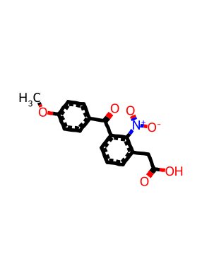 COc1ccc(C(=O)c2cccc(CC(=O)O)c2[N+](=O)[O-])cc1